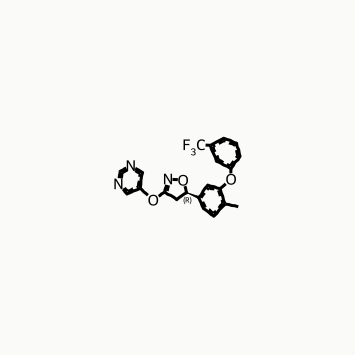 Cc1ccc([C@H]2CC(Oc3cncnc3)=NO2)cc1Oc1cccc(C(F)(F)F)c1